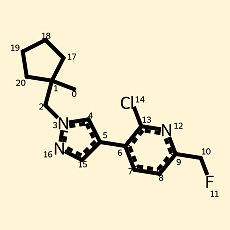 CC1(Cn2cc(-c3ccc(CF)nc3Cl)cn2)CCCC1